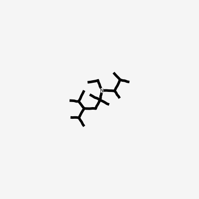 CCN(C(C)C(C)C)C(C)(C)CC(C(C)C)C(C)C